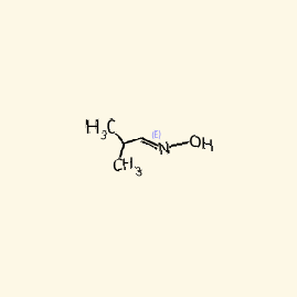 CC(C)/C=N/O